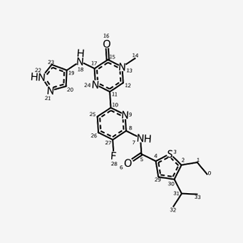 CCc1sc(C(=O)Nc2nc(-c3cn(C)c(=O)c(Nc4cn[nH]c4)n3)ccc2F)cc1C(C)C